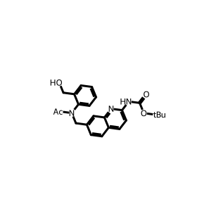 CC(=O)N(Cc1ccc2ccc(NC(=O)OC(C)(C)C)nc2c1)c1ccccc1CO